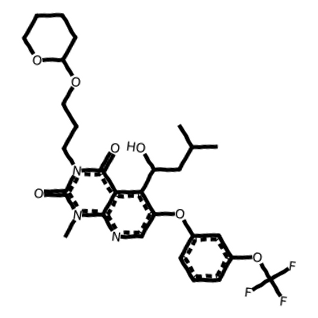 CC(C)CC(O)c1c(Oc2cccc(OC(F)(F)F)c2)cnc2c1c(=O)n(CCCOC1CCCCO1)c(=O)n2C